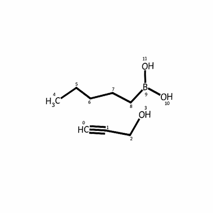 C#CCO.CCCCCB(O)O